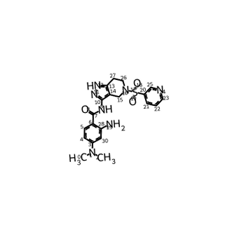 CN(C)c1ccc(C(=O)Nc2n[nH]c3c2CN(S(=O)(=O)c2cccnc2)CC3)c(N)c1